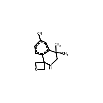 CC1(C)CNC2(COC2)c2ccc(C#N)cc21